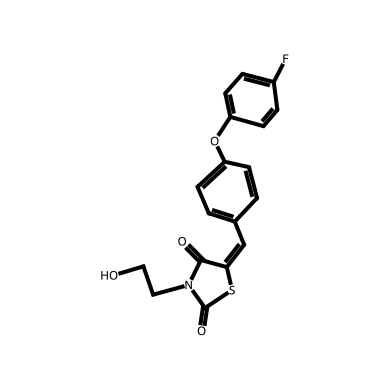 O=C1SC(=Cc2ccc(Oc3ccc(F)cc3)cc2)C(=O)N1CCO